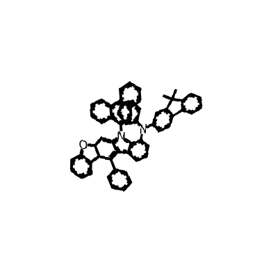 CC1(C)c2ccccc2-c2ccc(N(c3ccccc3)c3cccc4c5c(n(-c6cc7ccccc7c7ccccc67)c34)=CC3Oc4ccccc4C3C=5c3ccccc3)cc21